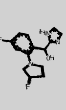 OC(c1ncc[nH]1)c1ccc(F)cc1N1CCC(F)C1